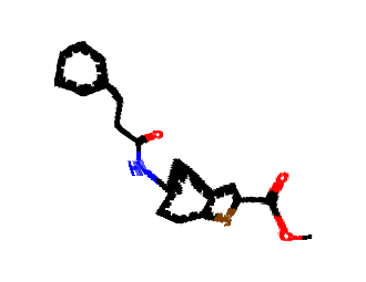 COC(=O)c1cc2cc(NC(=O)CCc3ccccc3)ccc2s1